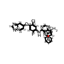 C=CC(=O)N1CC2CC(C1)N2c1ccc2ncnc(Nc3cc(Cl)c(Oc4ccn5ncnc5c4)cc3F)c2n1